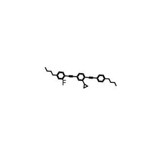 CCCCc1ccc(C#Cc2ccc(C#Cc3ccc(CCCC)cc3F)cc2C2CC2)cc1